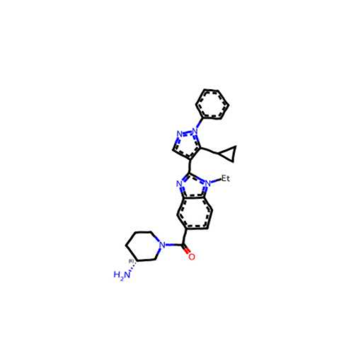 CCn1c(-c2cnn(-c3ccccc3)c2C2CC2)nc2cc(C(=O)N3CCC[C@@H](N)C3)ccc21